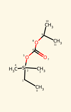 CC[Si](C)(C)OC(=O)OC(C)C